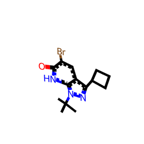 CC(C)(C)n1nc(C2CCC2)c2cc(Br)c(=O)[nH]c21